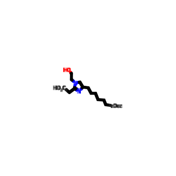 CCCCCCCCCCCCCCCCC1CN(CCO)C(CC(=O)O)=N1